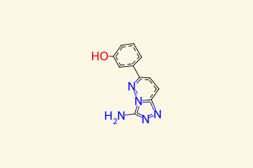 Nc1nnc2ccc(-c3cccc(O)c3)nn12